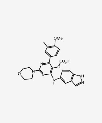 COc1ccc(-c2nc(N3CCOCC3)nc(Nc3ccc4[nH]ncc4c3)c2OC(=O)O)cc1C